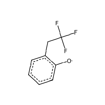 [O]c1ccccc1CC(F)(F)F